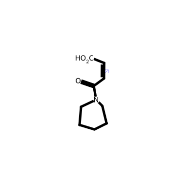 O=C(O)/C=C\C(=O)N1CCCCC1